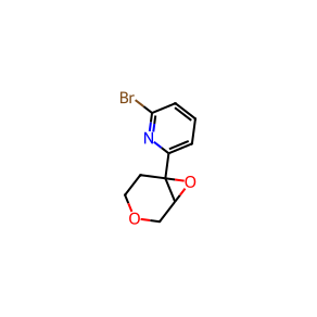 Brc1cccc(C23CCOCC2O3)n1